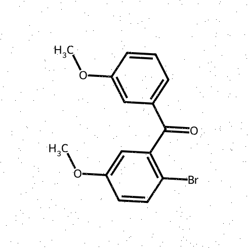 COc1cccc(C(=O)c2cc(OC)ccc2Br)c1